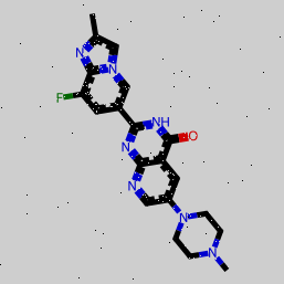 Cc1cn2cc(-c3nc4ncc(N5CCN(C)CC5)cc4c(=O)[nH]3)cc(F)c2n1